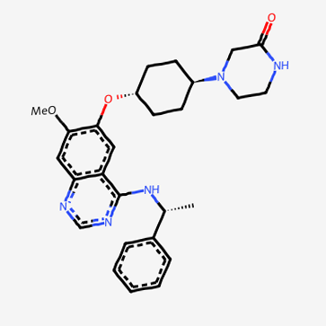 COc1cc2ncnc(N[C@H](C)c3ccccc3)c2cc1O[C@H]1CC[C@H](N2CCNC(=O)C2)CC1